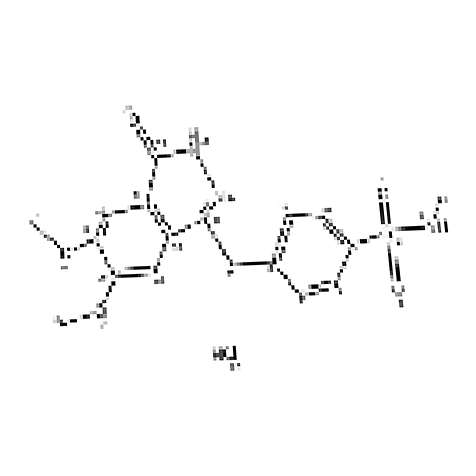 CNS(=O)(=O)c1ccc(Cc2n[nH]c(=O)c3cc(OC)c(OC)cc23)cc1.Cl